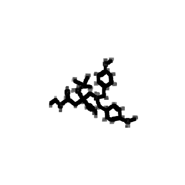 CCOC(=O)CC(C#N)(CN(Cc1ccc(OC)cc1)Cc1ccc(OC)cc1)O[Si](C)(C)C